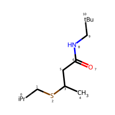 CC(C)CSC(C)CC(=O)NCC(C)(C)C